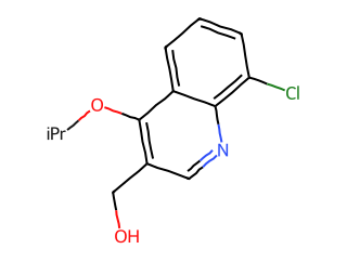 CC(C)Oc1c(CO)cnc2c(Cl)cccc12